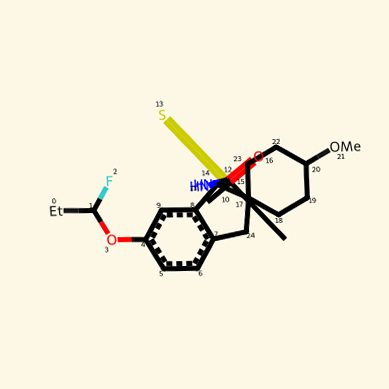 CCC(F)Oc1ccc2c(c1)C1(NC(=S)NC1=O)C1(CCC(OC)CC1)C2